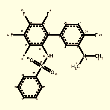 CN(C)c1cc(-c2c(F)c(F)c(F)c(F)c2NS(=O)(=O)c2ccccc2)ccc1F